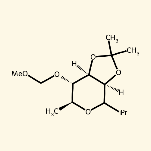 COCO[C@@H]1[C@H]2OC(C)(C)O[C@H]2C(C(C)C)O[C@H]1C